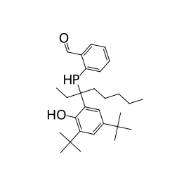 CCCCCC(CC)(Pc1ccccc1C=O)c1cc(C(C)(C)C)cc(C(C)(C)C)c1O